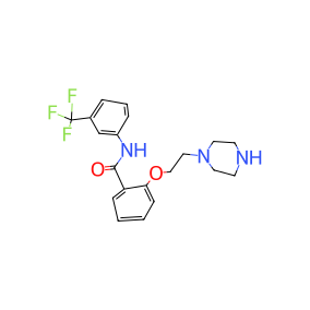 O=C(Nc1cccc(C(F)(F)F)c1)c1ccccc1OCCN1CCNCC1